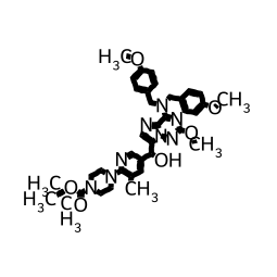 COc1ccc(CN(Cc2ccc(OC)cc2)c2nc(OC)nn3c(C(O)c4cnc(N5CCN(C(=O)OC(C)(C)C)CC5)c(C)c4)cnc23)cc1